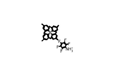 Cc1ccc([B-](c2ccc(C)cc2C)(c2ccc(C)cc2C)c2ccc(C)cc2C)c(C)c1.[NH3+]c1c(F)c(F)c(F)c(F)c1F